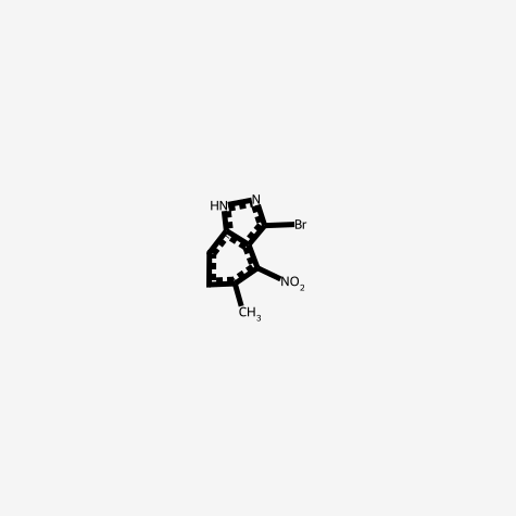 Cc1ccc2[nH]nc(Br)c2c1[N+](=O)[O-]